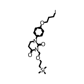 C[Si](C)(C)CCOCN1C(=O)CCN(c2ccc(OCCCI)cc2)C1=O